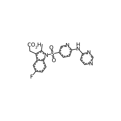 Cc1c(CC(=O)O)c2cc(F)ccc2n1S(=O)(=O)c1ccc(Nc2ccncn2)nc1